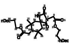 CCCCCCCCCCCCOC(=O)CN1C(=O)NC2(CC(C)(C)N(CC(=O)OCCCCCCCCCCCC)C(C)(C)C2)C1=O